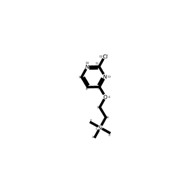 C[Si](C)(C)CCOc1ccnc(Cl)n1